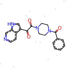 O=C(C(=O)N1CCN(C(=O)c2ccccc2)CC1)c1c[nH]c2cnccc12